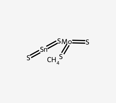 C.[S]=[Mo]=[S].[S]=[Sn]=[S]